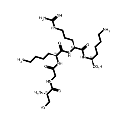 N=C(N)NCCC[C@H](NC(=O)[C@H](CCCCN)NC(=O)CNC(=O)[C@@H](N)CS)C(=O)N[C@@H](CCCCN)C(=O)O